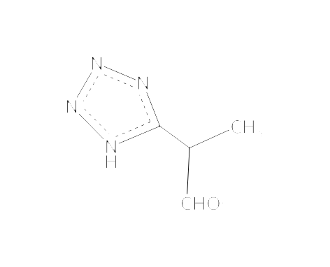 CC([C]=O)c1nnn[nH]1